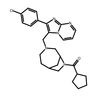 O=C(C1CCCC1)N1CC2CCN(Cc3c(-c4ccc(Cl)cc4)nc4ncccn34)CC1C2